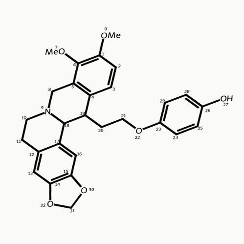 COc1ccc2c(c1OC)CN1CCc3cc4c(cc3C1C2CCOc1ccc(O)cc1)OCO4